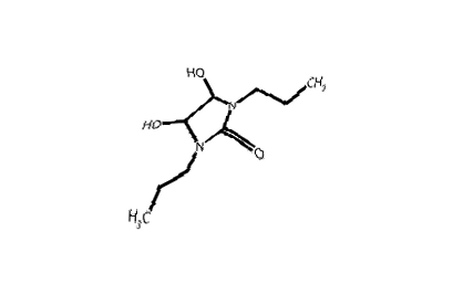 CCCN1C(=O)N(CCC)C(O)C1O